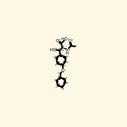 CC(=O)N[C@H](C(=O)O)C(O)c1ccc(OCc2ccccc2)cc1